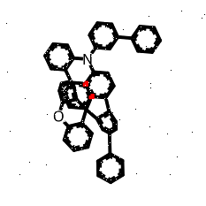 c1ccc(-c2cccc(N(c3ccc4c(c3)C3(c5ccccc5Oc5ccccc53)c3cc(-c5ccccc5)ccc3-4)c3ccccc3-c3ccccc3)c2)cc1